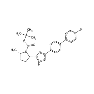 C[C@H]1CC[C@@H](c2nc(-c3ccc(-c4ccc(Br)cc4)cc3)c[nH]2)N1C(=O)OC(C)(C)C